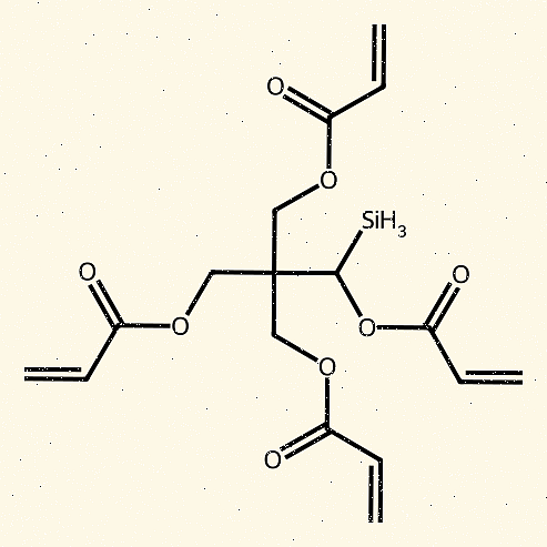 C=CC(=O)OCC(COC(=O)C=C)(COC(=O)C=C)C([SiH3])OC(=O)C=C